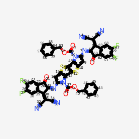 N#CC(C#N)=C1/C(=N/c2cc3sc4c(sc5cc(/N=C6\C(=O)c7cc(F)c(F)cc7C6=C(C#N)C#N)n(C(=O)OCc6ccccc6)c54)c3n2C(=O)OCc2ccccc2)C(=O)c2cc(F)c(F)cc21